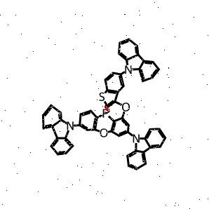 S=P12c3ccc(-n4c5ccccc5c5ccccc54)cc3Oc3cc(-n4c5ccccc5c5ccccc54)cc(c31)Oc1c2sc2ccc(-n3c4ccccc4c4ccccc43)cc12